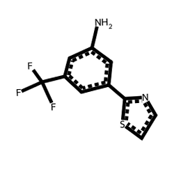 Nc1cc(-c2nccs2)cc(C(F)(F)F)c1